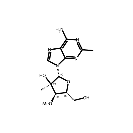 CO[C@@H]1[C@@H](CO)O[C@@H](n2cnc3c(N)nc(C)nc32)[C@]1(C)O